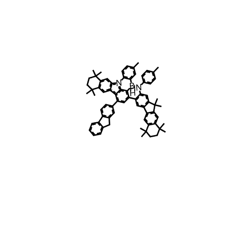 Cc1ccc(Nc2cc3c(cc2-c2cc(-c4ccc5c(c4)Cc4ccccc4-5)c4c5cc6c(cc5n5c4c2Bc2cc(C)ccc2-5)C(C)(C)CCC6(C)C)-c2cc4c(cc2C3(C)C)C(C)(C)CCC4(C)C)cc1